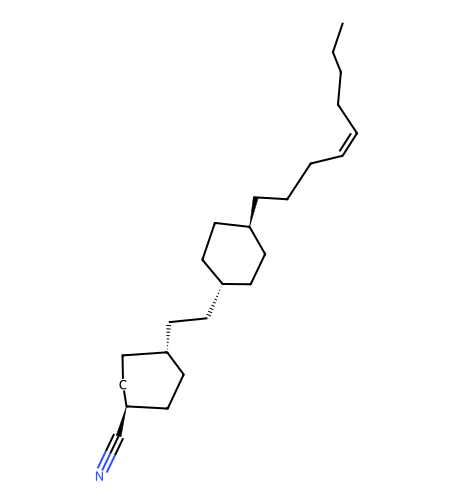 CCCC/C=C\CCC[C@H]1CC[C@H](CC[C@H]2CC[C@H](C#N)CC2)CC1